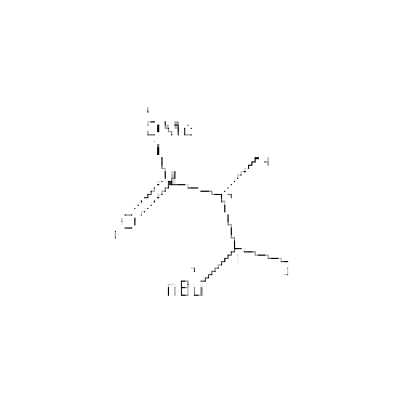 CCCCC(C)C(C)C(=O)OC